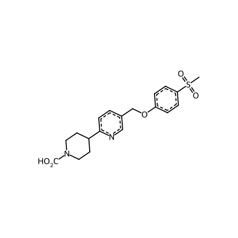 CS(=O)(=O)c1ccc(OCc2ccc(C3CCN(C(=O)O)CC3)nc2)cc1